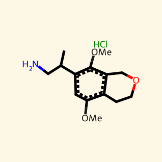 COc1cc(C(C)CN)c(OC)c2c1CCOC2.Cl